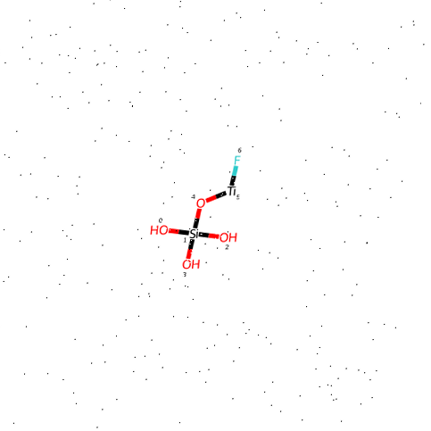 O[Si](O)(O)[O][Ti][F]